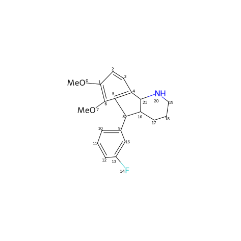 COc1ccc2c(c1OC)C(c1cccc(F)c1)C1CCCNC21